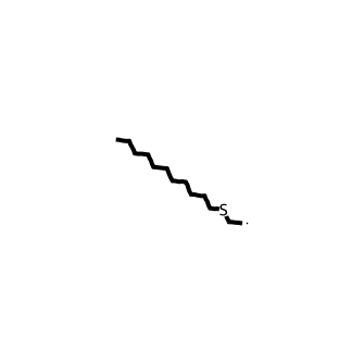 [CH2]CSCCCCCCCCCCC